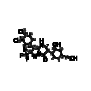 C#Cc1ccc(-c2c[nH]c3c(-c4ccc(Cl)c(Cl)c4)c(C(F)(F)F)nn3c2=O)c(O)c1